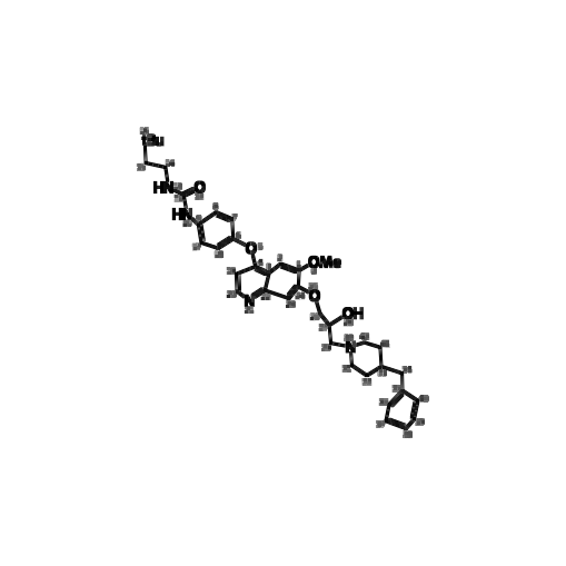 COc1cc2c(Oc3ccc(NC(=O)NCCC(C)(C)C)cc3)ccnc2cc1OCC(O)CN1CCC(Cc2ccccc2)CC1